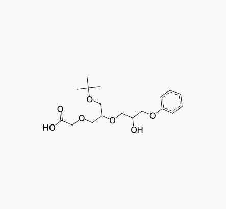 CC(C)(C)OCC(COCC(=O)O)OCC(O)COc1ccccc1